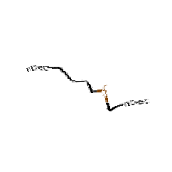 CCCCCCCCCCCCCCSCCCCCCCCCCC